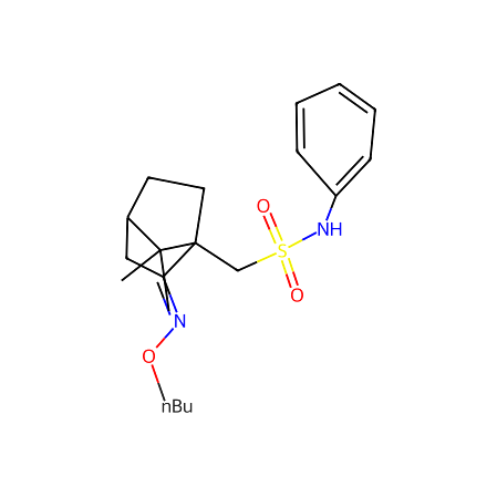 CCCCON=C1CC2CCC1(CS(=O)(=O)Nc1ccccc1)C2(C)C